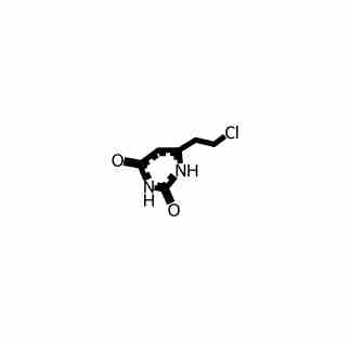 O=c1cc(CCCl)[nH]c(=O)[nH]1